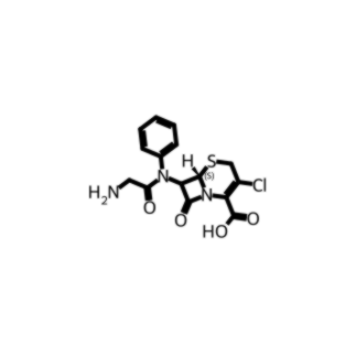 NCC(=O)N(c1ccccc1)C1C(=O)N2C(C(=O)O)=C(Cl)CS[C@@H]12